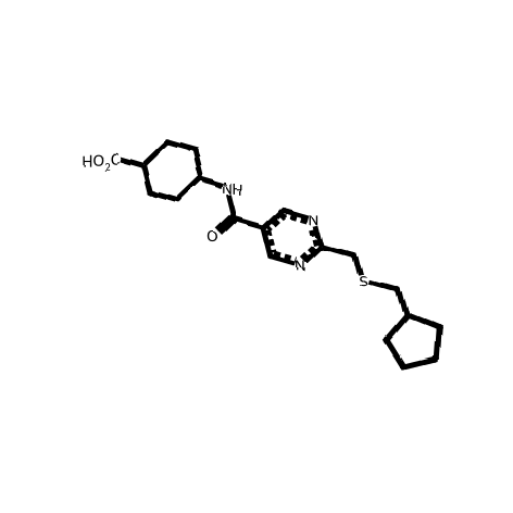 O=C(NC1CCC(C(=O)O)CC1)c1cnc(CSCC2CCCC2)nc1